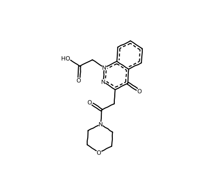 O=C(O)Cn1nc(CC(=O)N2CCOCC2)c(=O)c2ccccc21